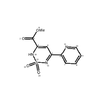 COC(=O)C1=CC(c2ccccn2)=NS(=O)(=O)N1